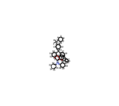 CC1(C)c2ccccc2-c2cc3c(cc21)C3(c1ccc2c(c1)C1(C3=C(C=CC=CC3)N(C3=CCCC=C3)c3ccccc31)c1ccccc1-2)c1ccccc1-c1ccccc1